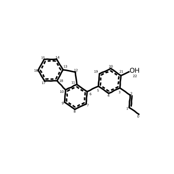 CC=Cc1cc(-c2cccc3c2Cc2ccccc2-3)ccc1O